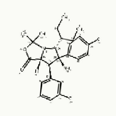 CCC(CC)[C@H]1N2[C@@H](C(=O)OC2(C)C)[C@H](c2cccc(Cl)c2)[C@@]1(N)c1ccc(Cl)cc1